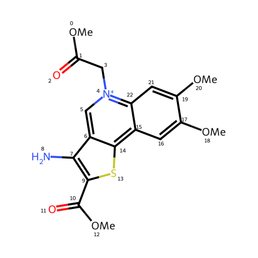 COC(=O)C[n+]1cc2c(N)c(C(=O)OC)sc2c2cc(OC)c(OC)cc21